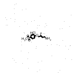 CS(=O)(=O)c1ccc(OC/C(F)=C/CN)cc1.Cl